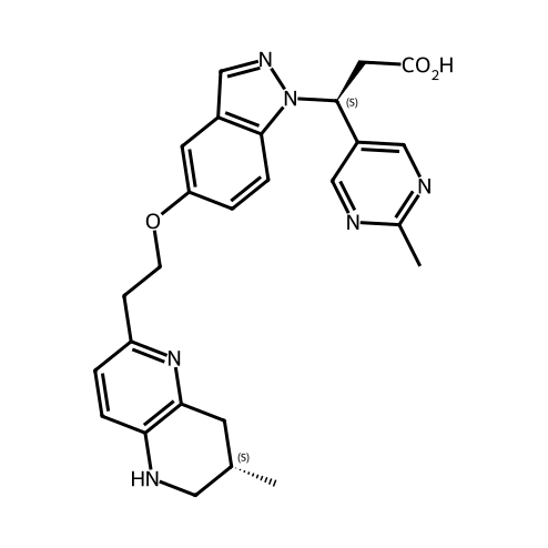 Cc1ncc([C@H](CC(=O)O)n2ncc3cc(OCCc4ccc5c(n4)C[C@H](C)CN5)ccc32)cn1